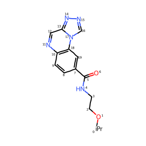 CC(C)OCCNC(=O)c1ccc2ncc3nncn3c2c1